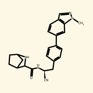 Cn1ncc2ccc(-c3ccc(C[C@@H](C#N)NC(=O)C4NC5CCC4C5)cc3)cc21